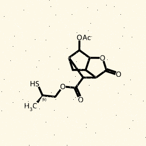 CC(=O)OC1C2CC3C1OC(=O)C3C2C(=O)OC[C@@H](C)S